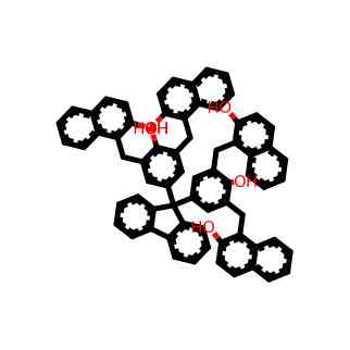 Oc1ccc2ccccc2c1Cc1cc(C2(c3cc(Cc4c(O)ccc5ccccc45)c(O)c(Cc4c(O)ccc5ccccc45)c3)c3ccccc3-c3ccccc32)cc(Cc2c(O)ccc3ccccc23)c1O